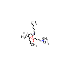 C=CCCC(OC(=O)CCCCN(C)C)C(C)C(C)CC/C=C\CCCCCC